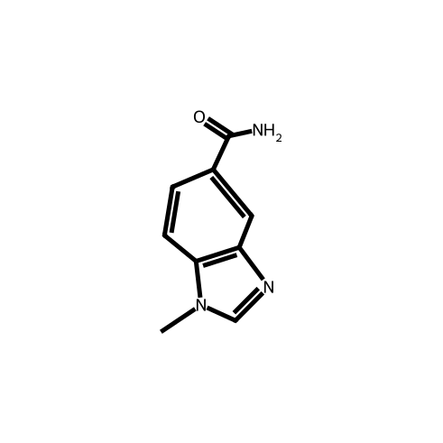 Cn1cnc2cc(C(N)=O)ccc21